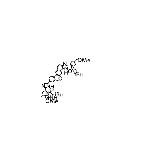 C=C(/C=C1/COc2cc3c(ccc4nc([C@@H]5CC(COC)CN5C(=O)OC(C)(C)C)[nH]c43)cc2/C1=C/C)c1cnc([C@@H]2C[C@H](C)CN2C(=O)C(NC(=O)OC)[C@@H](C)CC)[nH]1